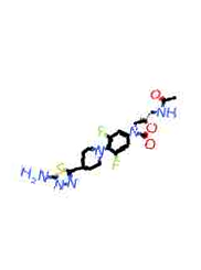 CC(=O)NC[C@H]1CN(c2cc(F)c(N3CCC(c4nnc(N)s4)CC3)c(F)c2)C(=O)O1